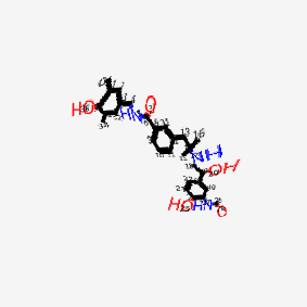 Cc1cc(CNC(=O)c2cccc(CC(C)(C)NC[C@@H](O)c3ccc(O)c(NC=O)c3)c2)cc(C)c1O